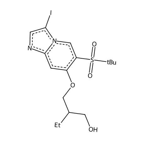 CCC(CO)COc1cc2ncc(I)n2cc1S(=O)(=O)C(C)(C)C